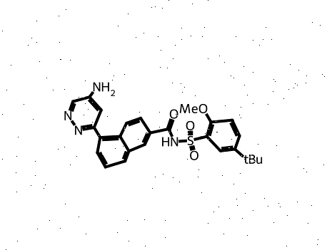 COc1ccc(C(C)(C)C)cc1S(=O)(=O)NC(=O)c1ccc2c(-c3cc(N)cnn3)cccc2c1